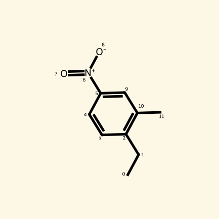 CCc1ccc([N+](=O)[O-])cc1C